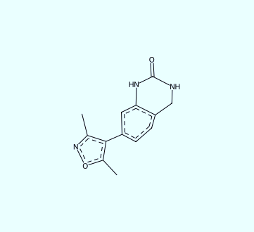 Cc1noc(C)c1-c1ccc2c(c1)NC(=O)NC2